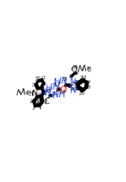 CNc1ccccc1/C(=N\C(C=O)NC(=N)OC(=N)c1nc2ccccc2n1CCOC)c1ccccc1